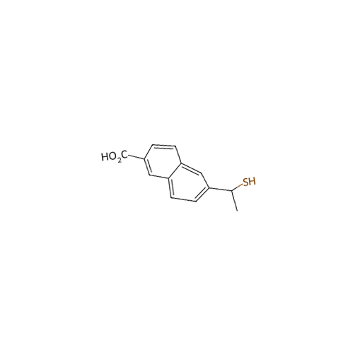 CC(S)c1ccc2cc(C(=O)O)ccc2c1